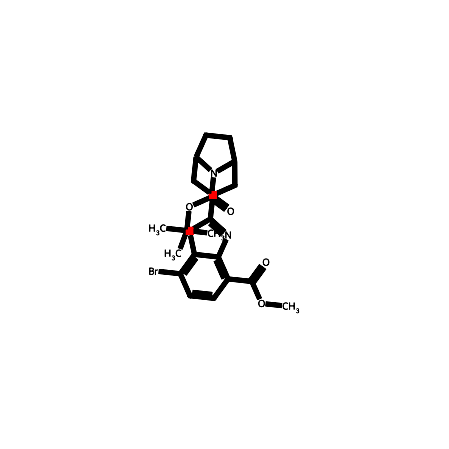 COC(=O)c1ccc(Br)c2oc(N3CC4CCC(C3)N4C(=O)OC(C)(C)C)nc12